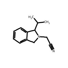 CC(C)C1c2ccccc2CN1CC#N